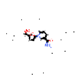 NC(=O)C1=CN(C2CCC(CO)O2)C=CC1